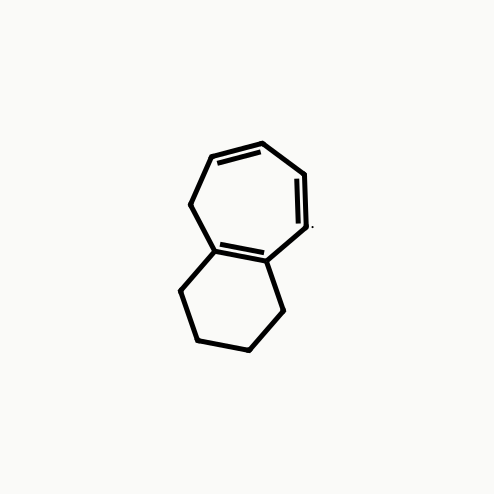 [C]1=CC=CCC2=C1CCCC2